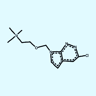 C[Si](C)(C)CCOCn1ccc2cc(Cl)nnc21